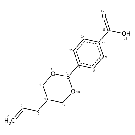 C=CCC1COB(c2ccc(C(=O)O)cc2)OC1